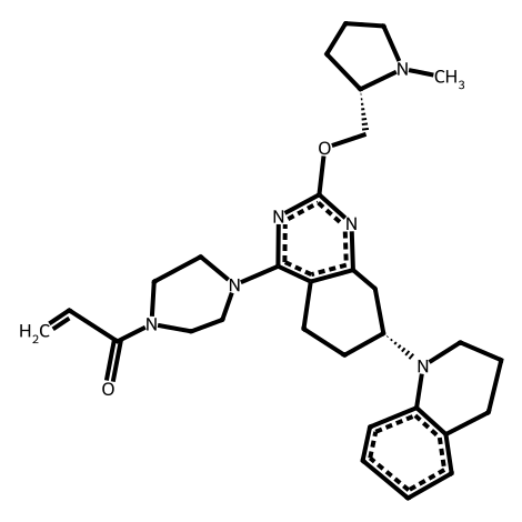 C=CC(=O)N1CCN(c2nc(OC[C@@H]3CCCN3C)nc3c2CC[C@@H](N2CCCc4ccccc42)C3)CC1